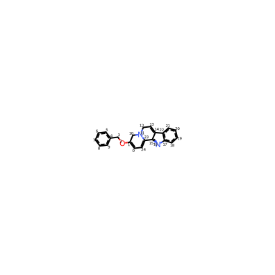 C1=C(OCc2ccccc2)CN2CC=C3C(=Nc4ccccc43)C2=C1